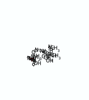 Cc1ncsc1-c1ccc([C@H](C)NC(=O)[C@@H]2C[C@@H](O)CN2C(=O)[C@@H](c2cc(N3CCC(CN4CCC(O[C@H]5C[C@H](Oc6cc(N7C8CCC7CN(c7cc(-c9ccccc9O)nnc7N)C8)ccn6)C5)CC4)CC3)no2)C(C)C)cc1F